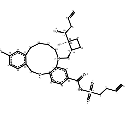 C=CCCS(=O)(=O)NC(=O)c1ccc2c(c1)N(C[C@@H]1CC[C@]1(C)[C@@H](O)CC=C)CCCCc1cc(Cl)ccc1CO2